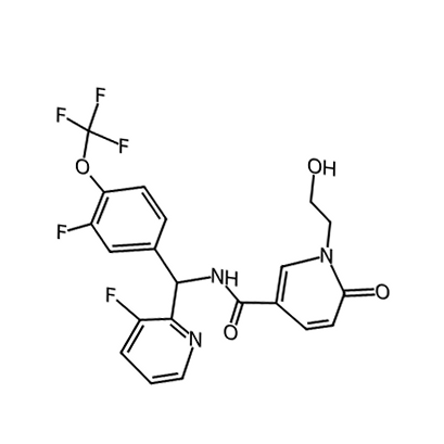 O=C(NC(c1ccc(OC(F)(F)F)c(F)c1)c1ncccc1F)c1ccc(=O)n(CCO)c1